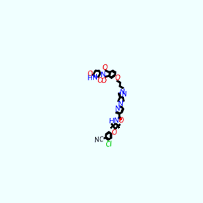 CC1(C)C(NC(=O)c2ccc(N3Cc4cn(CCCCOc5ccc6c(c5)C(=O)N(C5CCC(=O)NC5=O)C6=O)nc4C3)nc2)C(C)(C)C1Oc1ccc(C#N)c(Cl)c1